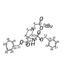 CC(C)(C)OC(=O)CN1CCC(NC(=O)OCc2ccccc2)(C(=O)OCc2ccccc2)C1